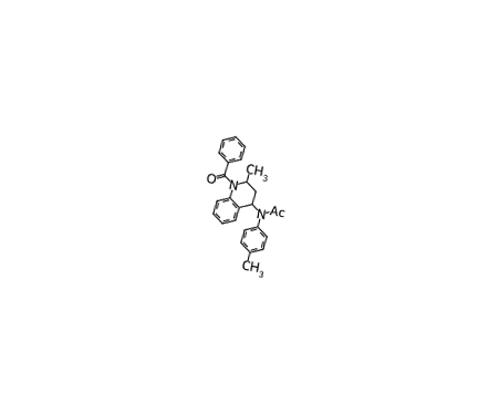 CC(=O)N(c1ccc(C)cc1)C1CC(C)N(C(=O)c2ccccc2)c2ccccc21